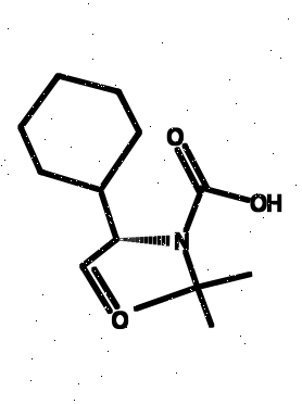 CC(C)(C)N(C(=O)O)[C@H](C=O)C1CCCCC1